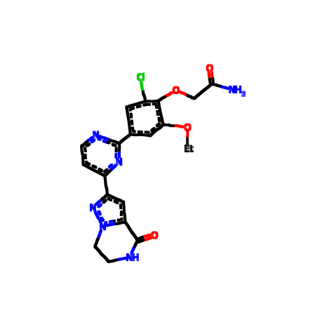 CCOc1cc(-c2nccc(-c3cc4n(n3)CCNC4=O)n2)cc(Cl)c1OCC(N)=O